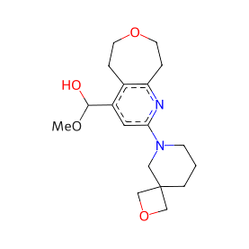 COC(O)c1cc(N2CCCC3(COC3)C2)nc2c1CCOCC2